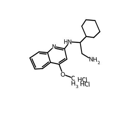 COc1cc(NC(CN)C2CCCCC2)nc2ccccc12.Cl.Cl